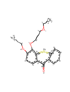 CCOCCOc1c(OCC)ccc2c(=O)c3ccccc3sc12